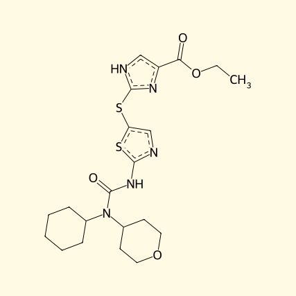 CCOC(=O)c1c[nH]c(Sc2cnc(NC(=O)N(C3CCCCC3)C3CCOCC3)s2)n1